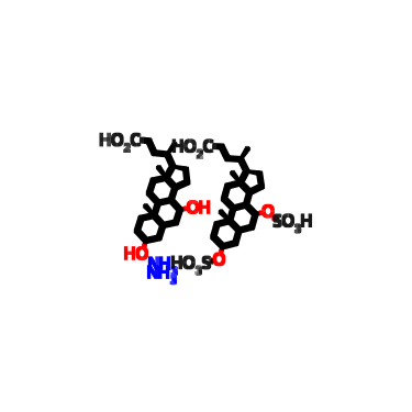 C[C@H](CCC(=O)O)[C@H]1CCC2C3C(CC[C@@]21C)[C@@]1(C)CC[C@H](O)CC1C[C@@H]3O.C[C@H](CCC(=O)O)[C@H]1CCC2C3C(CC[C@@]21C)[C@@]1(C)CC[C@H](OS(=O)(=O)O)CC1C[C@@H]3OS(=O)(=O)O.N.N